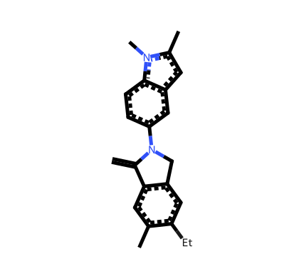 C=C1c2cc(C)c(CC)cc2CN1c1ccc2c(c1)cc(C)n2C